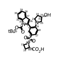 CC(C)(C)OC(=O)n1c(-c2cc(S(=O)(=O)N3CC[C@H]3C(=O)O)ccc2N2CC[C@H](O)C2)cc2ccccc21